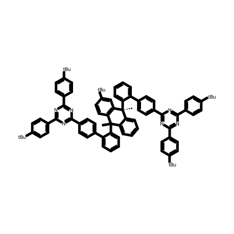 CC(C)(C)c1ccc(-c2nc(-c3ccc(-c4ccccc4C4(C)c5ccccc5[C@](C)(c5ccccc5-c5ccc(-c6nc(-c7ccc(C(C)(C)C)cc7)nc(-c7ccc(C(C)(C)C)cc7)n6)cc5)c5cc(C(C)(C)C)ccc54)cc3)nc(-c3ccc(C(C)(C)C)cc3)n2)cc1